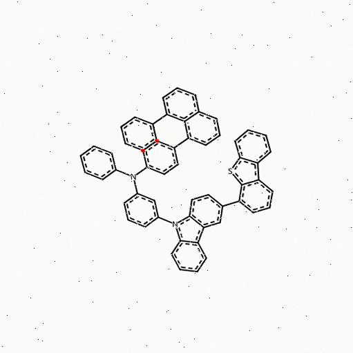 c1ccc(-c2cccc3cccc(-c4ccc(N(c5ccccc5)c5cccc(-n6c7ccccc7c7cc(-c8cccc9c8sc8ccccc89)ccc76)c5)cc4)c23)cc1